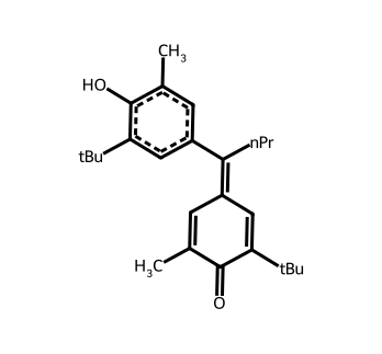 CCCC(=C1C=C(C)C(=O)C(C(C)(C)C)=C1)c1cc(C)c(O)c(C(C)(C)C)c1